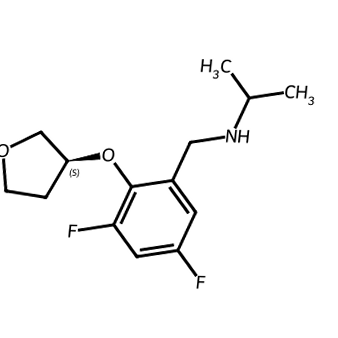 CC(C)NCc1cc(F)cc(F)c1O[C@H]1CCOC1